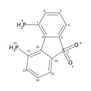 O=S1(=O)c2cccc(P)c2-c2c(P)cccc21